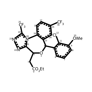 CCOC(=O)CC1OC(c2cccc(OC)c2Cl)c2cc(C(F)(F)F)ccc2-n2c1nnc2C(F)(F)F